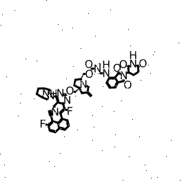 C#Cc1c(F)ccc2cccc(-c3ncc4c(N5CC6CCC(C5)N6)nc(OC[C@@]56CC[C@@H](COC(=O)N(C)CNc7cccc8c7C(=O)N(C7CCC(=O)NC7=O)C8=O)N5CC(=C)C6)nc4c3F)c12